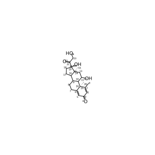 CC1=CC(=O)C=C2CCC3C(C(O)C[C@@]4(C)C3CC[C@]4(O)C(=O)CO)[C@@]12C